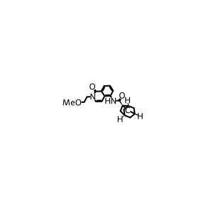 COCCn1ccc2c(NC(=O)[C@@]34C[C@@H]5C[C@@H](C[C@@H]3C5)C4)cccc2c1=O